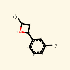 N#Cc1cccc(C2CC(C(F)(F)F)O2)c1